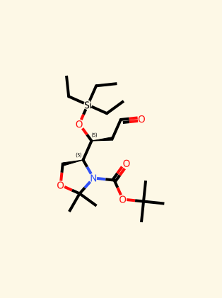 CC[Si](CC)(CC)O[C@@H](CC=O)[C@@H]1COC(C)(C)N1C(=O)OC(C)(C)C